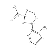 Nc1cnccc1N1CCC[C@@H](C(=O)O)C1